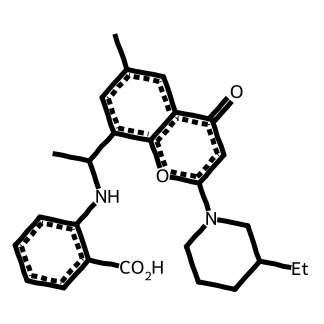 CCC1CCCN(c2cc(=O)c3cc(C)cc(C(C)Nc4ccccc4C(=O)O)c3o2)C1